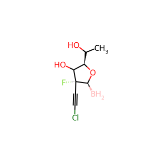 B[C@@H]1O[C@H](C(C)O)C(O)[C@]1(F)C#CCl